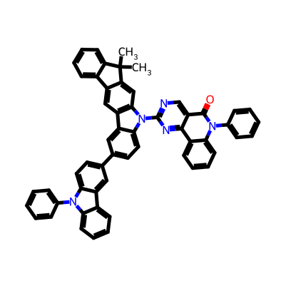 CC1(C)c2ccccc2-c2cc3c4cc(-c5ccc6c(c5)c5ccccc5n6-c5ccccc5)ccc4n(-c4ncc5c(=O)n(-c6ccccc6)c6ccccc6c5n4)c3cc21